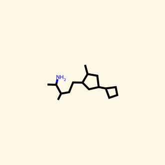 CC(N)C(C)CCC1CC(C2CCC2)CC1C